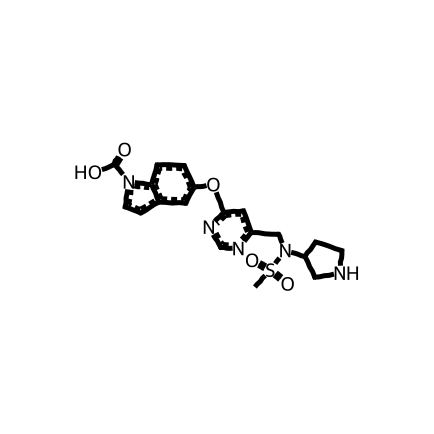 CS(=O)(=O)N(Cc1cc(Oc2ccc3c(ccn3C(=O)O)c2)ncn1)C1CCNC1